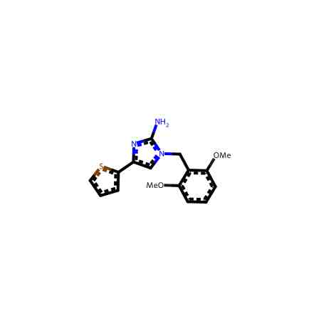 COc1cccc(OC)c1Cn1cc(-c2cccs2)nc1N